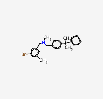 Cc1cc(Br)cc(CN(C)Cc2ccc(C(C)(C)c3ccccc3)cc2)c1